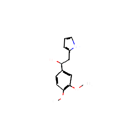 COc1ccc(C(O)Cc2ccc[nH]2)cc1OC